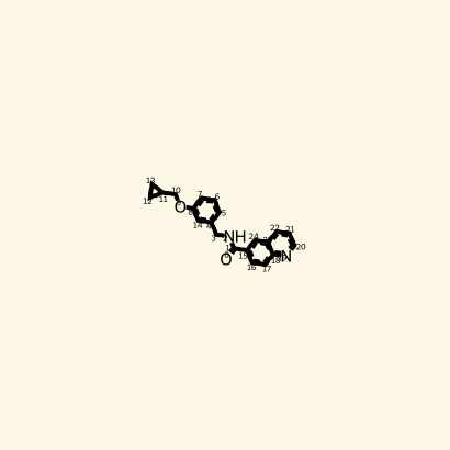 O=C(NCc1cccc(OCC2CC2)c1)c1ccc2ncccc2c1